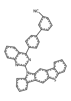 N#Cc1cccc(-c2ccc(-c3nc(-n4c5ccccc5c5cc6sc7ccccc7c6cc54)nc4ccccc34)cc2)c1